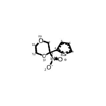 O=[N+]([O-])C1(c2cccs2)COCCO1